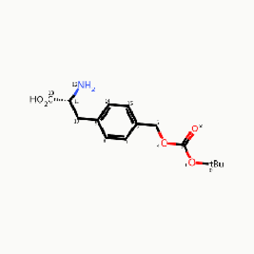 CC(C)(C)OC(=O)OCc1ccc(C[C@@H](N)C(=O)O)cc1